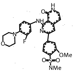 CNS(=O)(=O)c1ccc(-c2cc3cc[nH]c(=O)c3c(Nc3ccc(N4CCOCC4)c(F)c3)n2)cc1OC